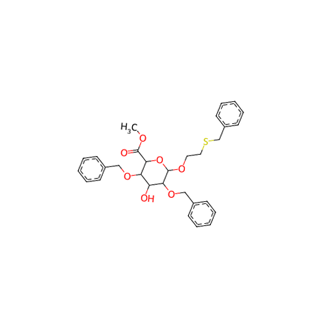 COC(=O)C1OC(OCCSCc2ccccc2)C(OCc2ccccc2)C(O)C1OCc1ccccc1